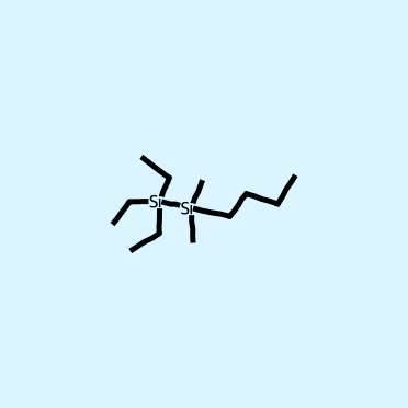 CCCC[Si](C)(C)[Si](CC)(CC)CC